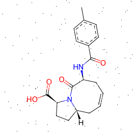 Cc1ccc(C(=O)N[C@H]2CC=CC[C@@H]3CC[C@@H](C(=O)O)N3C2=O)cc1